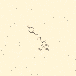 CC(C)(C)OC(=O)N1CC2(CC(N3CCC(=O)CC3)C2)C1